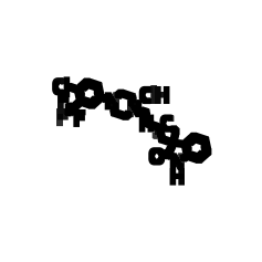 CCC1(CCCCN2CCN(c3ccc(Cl)c(C(F)(F)F)c3)CC2)C(=O)Nc2ccccc21.Cl